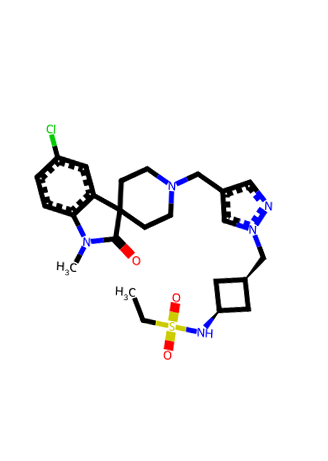 CCS(=O)(=O)N[C@H]1C[C@@H](Cn2cc(CN3CCC4(CC3)C(=O)N(C)c3ccc(Cl)cc34)cn2)C1